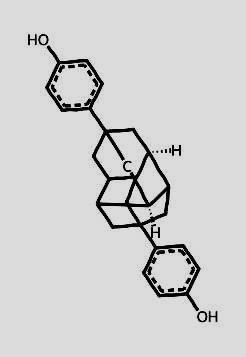 Oc1ccc(C23CC4C5CC6(c7ccc(O)cc7)C[C@H]4C(C2)[C@H](C6)C5C3)cc1